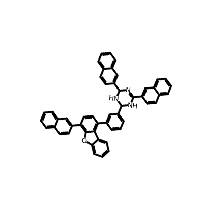 c1cc(-c2ccc(-c3ccc4ccccc4c3)c3oc4ccccc4c23)cc(C2NC(c3ccc4ccccc4c3)=NC(c3ccc4ccccc4c3)N2)c1